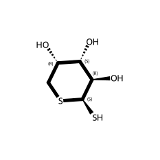 O[C@@H]1[C@@H](O)[C@@H](S)SC[C@@H]1O